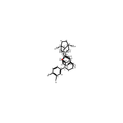 Fc1ccc(N2CCCn3nc(N[C@@H]4[C@@H]5CC[C@H]4CN(c4ccnc(Cl)c4)C5)nc32)cc1F